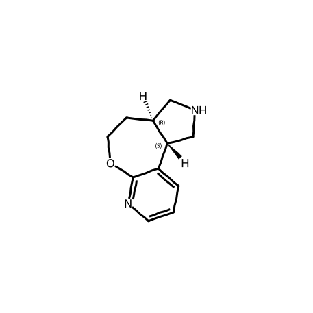 c1cnc2c(c1)[C@H]1CNC[C@@H]1CCO2